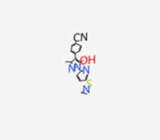 Cc1nn(-c2ccc(SN3CC3)cn2)c(O)c1-c1ccc(C#N)cc1